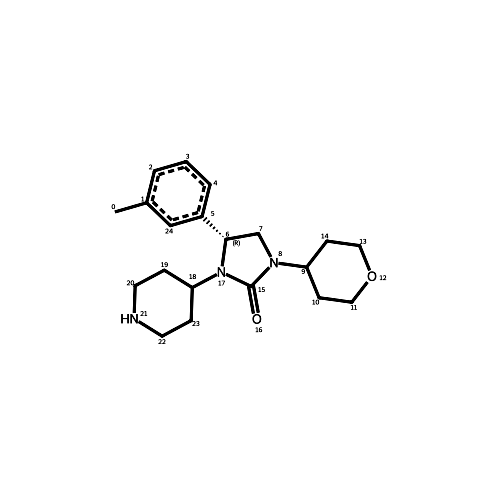 Cc1cccc([C@@H]2CN(C3CCOCC3)C(=O)N2C2CCNCC2)c1